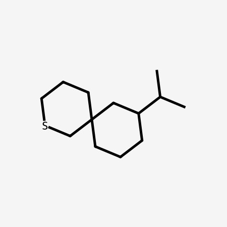 CC(C)C1CCCC2(CCCSC2)C1